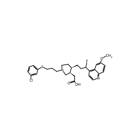 COc1ccc2nccc(C(F)CC[C@@H]3CCN(CCCSc4cccc(Cl)c4)C[C@@H]3CC(=O)O)c2c1